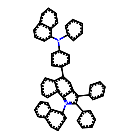 c1ccc(-c2c(-c3ccccc3)n(-c3cccc4ccccc34)c3c2cc(-c2ccc(N(c4ccccc4)c4cccc5ccccc45)cc2)c2ccccc23)cc1